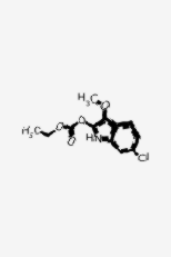 CCOC(=O)Oc1[nH]c2cc(Cl)ccc2c1OC